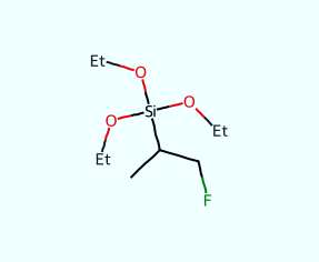 CCO[Si](OCC)(OCC)C(C)CF